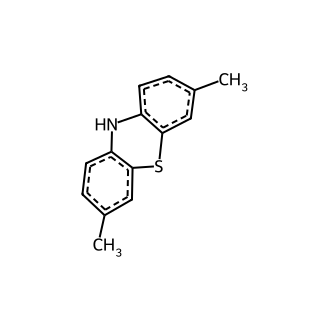 Cc1ccc2c(c1)Sc1cc(C)ccc1N2